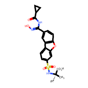 CC(C)[C@](C)(NS(=O)(=O)c1ccc2c(c1)oc1ccc(C(=NO)NC(=O)C3CC3)cc12)C(=O)O